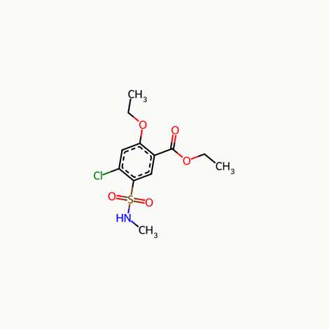 CCOC(=O)c1cc(S(=O)(=O)NC)c(Cl)cc1OCC